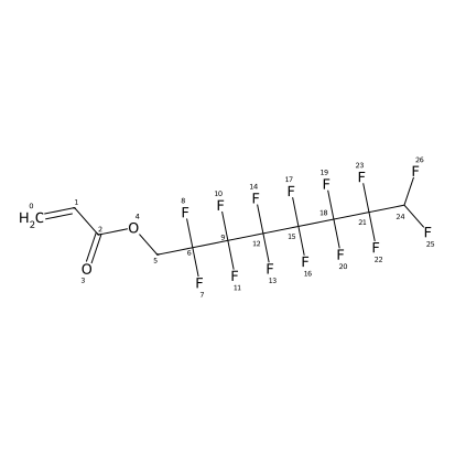 C=CC(=O)OCC(F)(F)C(F)(F)C(F)(F)C(F)(F)C(F)(F)C(F)(F)C(F)F